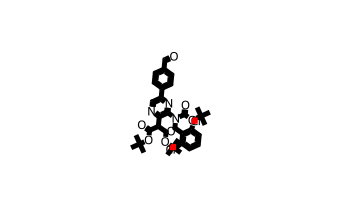 CC(C)(C)OC(=O)C(C(=O)OC(C)(C)C)c1ncc(-c2ccc(C=O)cc2)nc1N(Cc1c(Cl)cccc1Cl)C(=O)OC(C)(C)C